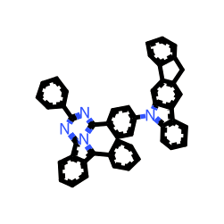 c1ccc(-c2nc(-c3ccc(-n4c5ccccc5c5cc6c(cc54)-c4ccccc4C6)cc3)n3c(-c4ccccc4)c4ccccc4c3n2)cc1